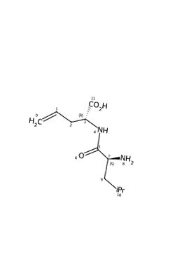 C=CC[C@@H](NC(=O)[C@@H](N)CC(C)C)C(=O)O